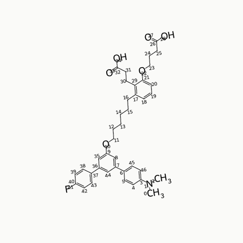 CN(C)c1ccc(-c2cc(OCCCCCCc3cccc(OCCCC(=O)O)c3CCC(=O)O)cc(-c3ccc(F)cc3)c2)cc1